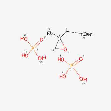 CCCCCCCCCCCC1(CC)CO1.O=P(O)(O)O.O=P(O)(O)O